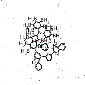 Bc1c(B)c(B)c(N(c2c(B)c(B)c(B)c(B)c2B)c2c(B)c(B)c3c(B)c(B)c(-c4cc(-c5cccc(-c6nc7ccccc7nc6-c6ccccc6)c5)c5c(c4)oc4ccccc45)c(B)c3c2B)c(B)c1B